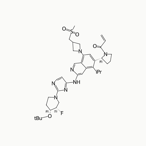 C=CC(=O)N1CCC[C@@H]1c1cc(N2CC(CS(C)(=O)=O)C2)c2cnc(Nc3ccnc(N4CC[C@@H](OC(C)(C)C)[C@@H](F)C4)n3)cc2c1C(C)C